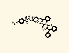 COC(=O)N(C(=O)[C@@H](N)C(c1ccccc1)c1ccccc1)c1ccccc1CC[C@@H]1CN[C@H](CNS(=O)(=O)c2ccc(N)cc2)CO1